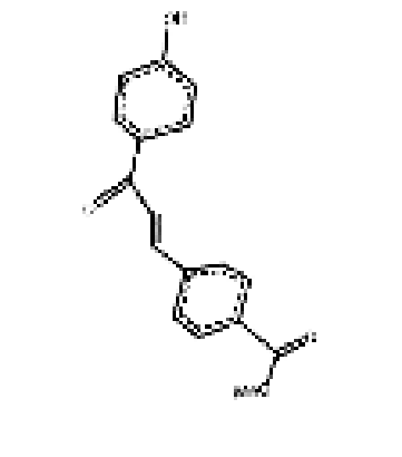 COC(=O)c1ccc(C=CC(=O)c2ccc(O)cc2)cc1